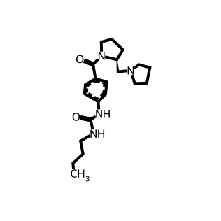 CCCCNC(=O)Nc1ccc(C(=O)N2CCC[C@H]2CN2CCCC2)cc1